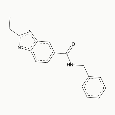 CCc1nc2ccc(C(=O)NCc3ccccc3)cc2s1